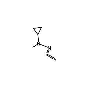 CN(N=S=S)C1CC1